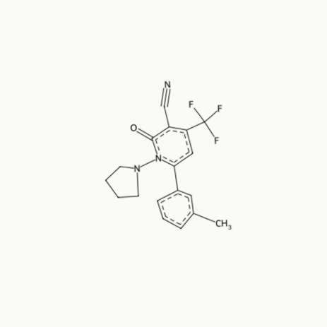 Cc1cccc(-c2cc(C(F)(F)F)c(C#N)c(=O)n2N2CCCC2)c1